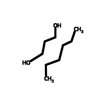 CCCCCC.OCCCO